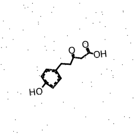 O=C(O)CC(=O)CCc1ccc(O)cc1